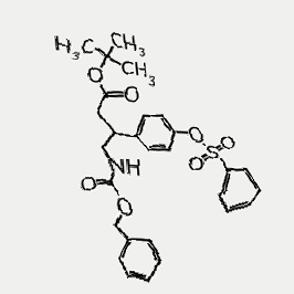 CC(C)(C)OC(=O)CC(CNC(=O)OCc1ccccc1)c1ccc(OS(=O)(=O)c2ccccc2)cc1